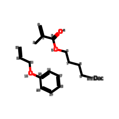 C=C(C)C(=O)OCCCCCCCCCCCCCC.C=CCOc1ccccc1